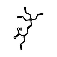 C=CCN(CC=C[Si](CC=C)(CC=C)CC=C)C(=O)O